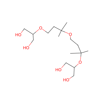 CC(C)(CCOC(CO)CO)OCCC(C)(C)OC(CO)CO